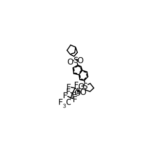 O=S(=O)(c1ccc2cc(S3(OS(=O)(=O)C(F)(F)C(F)(F)C(F)(F)C(F)(F)F)CCCC3)ccc2c1)C1CC2CCC1C2